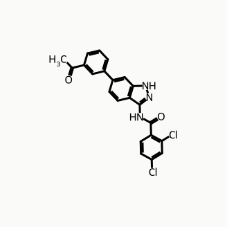 CC(=O)c1cccc(-c2ccc3c(NC(=O)c4ccc(Cl)cc4Cl)n[nH]c3c2)c1